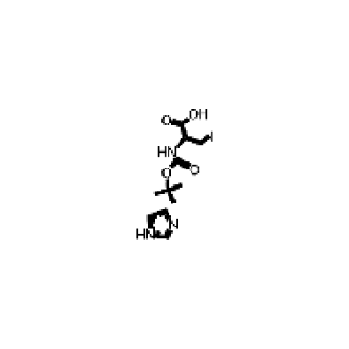 CC(C)(C)OC(=O)NC(CI)C(=O)O.c1c[nH]cn1